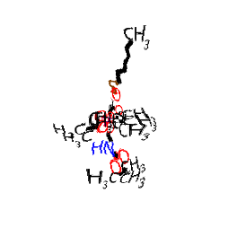 CCCCCCCCSOC[C@@H](COP(=O)(OCCNC(=O)OC(C)(C)C)OC(C)(C)C)O[Si](C)(C)C(C)(C)C